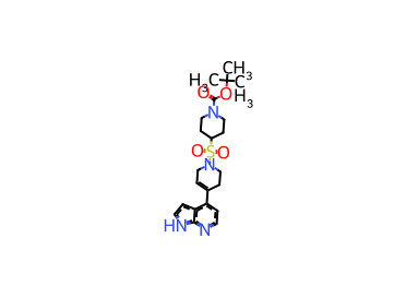 CC(C)(C)OC(=O)N1CCC(S(=O)(=O)N2CC=C(c3ccnc4[nH]ccc34)CC2)CC1